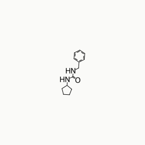 O=C(NCc1ccccc1)NC1CCCC1